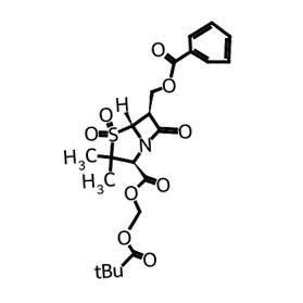 CC(C)(C)C(=O)OCOC(=O)[C@@H]1N2C(=O)[C@H](COC(=O)c3ccccc3)[C@H]2S(=O)(=O)C1(C)C